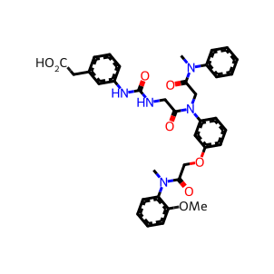 COc1ccccc1N(C)C(=O)COc1cccc(N(CC(=O)N(C)c2ccccc2)C(=O)CNC(=O)Nc2cccc(CC(=O)O)c2)c1